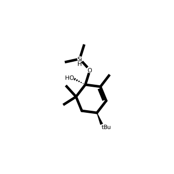 CC1=C[C@@H](C(C)(C)C)CC(C)(C)[C@@]1(O)O[SiH](C)C